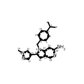 CC(C)c1ccc(Cn2c(-c3cnn(C)c3)cc3cnc(N)cc32)cc1